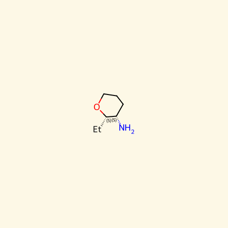 CC[C@@H]1OCCC[C@@H]1N